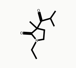 CCN1CCC(C)(C(=O)C(C)C)C1=O